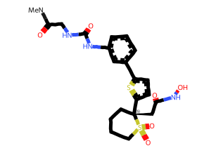 CNC(=O)CNC(=O)Nc1cccc(-c2ccc([C@@]3(CC(=O)NO)CCCCS3(=O)=O)s2)c1